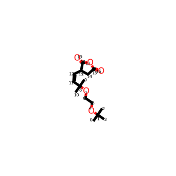 CC(C)(C)OCCOC(C)(C)/C=C\C1CC(=O)OC1=O